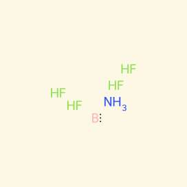 F.F.F.F.N.[B]